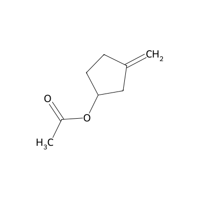 C=C1CCC(OC(C)=O)C1